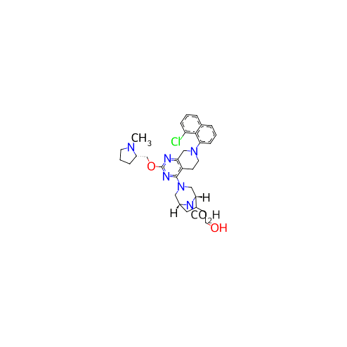 CN1CCC[C@H]1COc1nc2c(c(N3C[C@H]4CC(CCO)[C@@H](C3)N4C(=O)O)n1)CCN(c1cccc3cccc(Cl)c13)C2